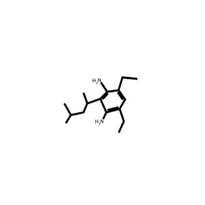 CCc1cc(CC)c(N)c(C(C)CC(C)C)c1N